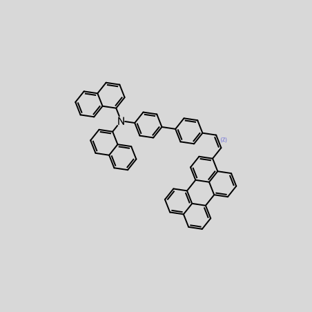 C(=C/c1ccc2c3cccc4cccc(c5cccc1c52)c43)/c1ccc(-c2ccc(N(c3cccc4ccccc34)c3cccc4ccccc34)cc2)cc1